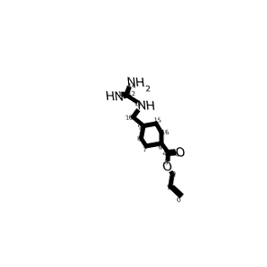 C=CCOC(=O)C1CCC(CNC(=N)N)CC1